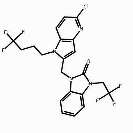 O=c1n(Cc2cc3nc(Cl)ccc3n2CCCC(F)(F)F)c2ccccc2n1CC(F)(F)F